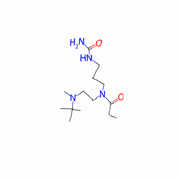 CCC(=O)N(CCCNC(N)=O)CCN(C)C(C)(C)C